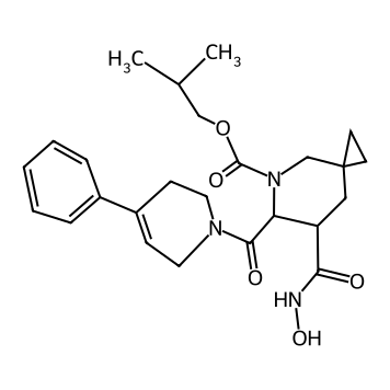 CC(C)COC(=O)N1CC2(CC2)CC(C(=O)NO)C1C(=O)N1CC=C(c2ccccc2)CC1